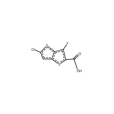 O=C(O)c1sc2cc(Cl)sc2c1F